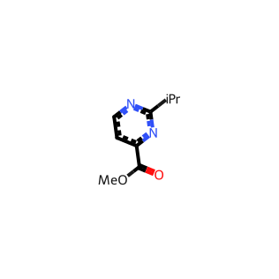 COC(=O)c1ccnc(C(C)C)n1